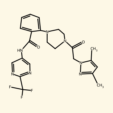 Cc1cc(C)n(CC(=O)N2CCN(c3ccccc3C(=O)Nc3cnc(C(F)(F)F)nc3)CC2)n1